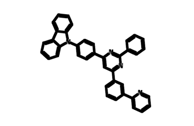 c1ccc(-c2nc(-c3ccc(-n4c5ccccc5c5ccccc54)cc3)cc(-c3cccc(-c4ccccn4)c3)n2)cc1